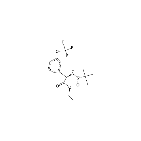 CCOC(=O)[C@H](N[S@@+]([O-])C(C)(C)C)c1cccc(OC(F)(F)F)c1